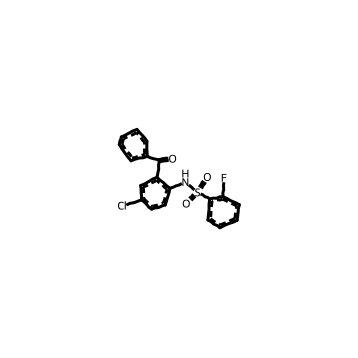 O=C(c1ccccc1)c1cc(Cl)ccc1NS(=O)(=O)c1ccccc1F